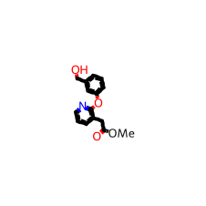 COC(=O)Cc1cccnc1Oc1cccc(CO)c1